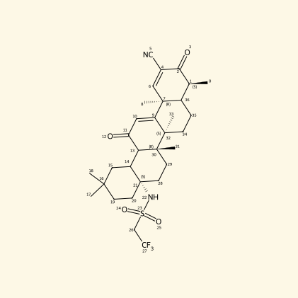 C[C@@H]1C(=O)C(C#N)=C[C@]2(C)C3=CC(=O)C4C5CC(C)(C)CC[C@]5(NS(=O)(=O)CC(F)(F)F)CC[C@@]4(C)[C@]3(C)CCC12